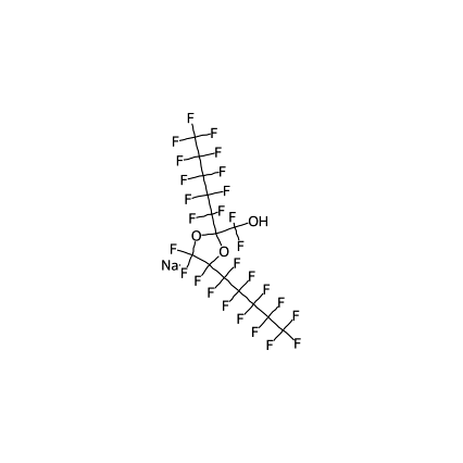 OC(F)(F)C1(C(F)(F)C(F)(F)C(F)(F)C(F)(F)C(F)(F)F)OC(F)(F)C(F)(C(F)(F)C(F)(F)C(F)(F)C(F)(F)C(F)(F)F)O1.[Na]